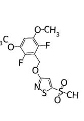 COc1cc(OC)c(F)c(COc2cc(S(C)(=O)=O)sn2)c1F